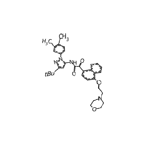 Cc1ccc(-n2nc(C(C)(C)C)cc2NC(=O)C(=O)c2ccc(OCCN3CCOCC3)c3ccccc23)cc1C